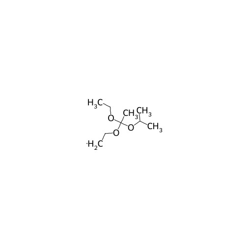 [CH2]COC(C)(OCC)OC(C)C